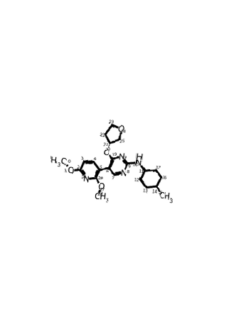 COc1ccc(-c2cnc(NC3CCC(C)CC3)nc2O[C@@H]2CCOC2)c(OC)n1